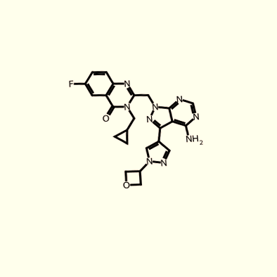 Nc1ncnc2c1c(-c1cnn(C3COC3)c1)nn2Cc1nc2ccc(F)cc2c(=O)n1CC1CC1